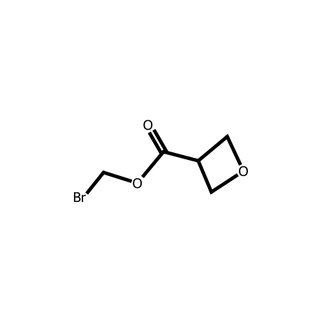 O=C(OCBr)C1COC1